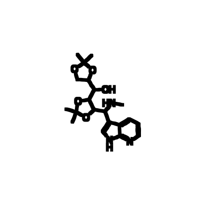 CNC(c1c[nH]c2ncccc12)C1OC(C)(C)OC1C(O)C1COC(C)(C)O1